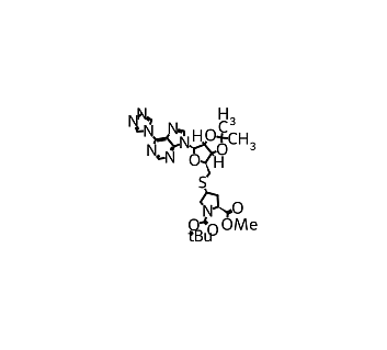 COC(=O)[C@@H]1C[C@H](SC[C@H]2O[C@@H](n3cnc4c(-n5cnnc5)ncnc43)[C@@H]3OC(C)(C)O[C@@H]32)CN1C(=O)OC(C)(C)C